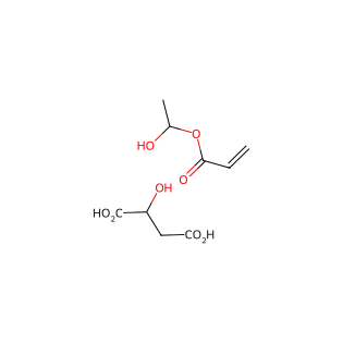 C=CC(=O)OC(C)O.O=C(O)CC(O)C(=O)O